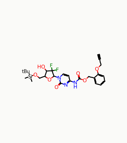 C#CCOc1ccccc1COC(=O)Nc1ccn(C2OC(CO[Si](C)(C)C(C)(C)C)C(O)C2(F)F)c(=O)n1